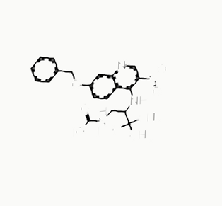 CC(C)(C)C(CNC(=O)O)Nc1c([N+](=O)[O-])cnc2cc(OCc3ccccc3)ccc12